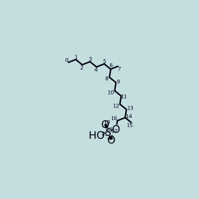 CCCCCCC(C)CCCCCCC(C)COS(=O)(=O)O